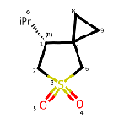 CC(C)[C@H]1CS(=O)(=O)CC12CC2